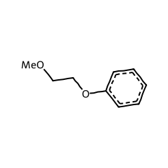 COCCOc1ccccc1